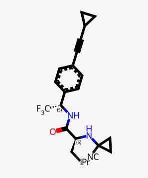 CC(C)C[C@H](NC1(C#N)CC1)C(=O)N[C@@H](c1ccc(C#CC2CC2)cc1)C(F)(F)F